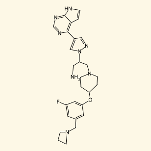 NCC(CN1CCC(Oc2cc(F)cc(CN3CCC3)c2)CC1)n1cc(-c2ncnc3[nH]ccc23)cn1